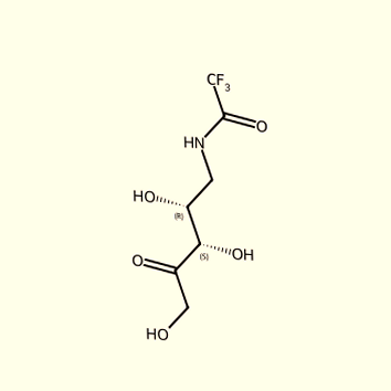 O=C(CO)[C@@H](O)[C@H](O)CNC(=O)C(F)(F)F